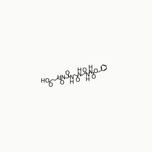 O=C(O)CCCC(=O)NCC(=O)NCC(=O)NCC(=O)NNC(=O)OCc1ccccc1